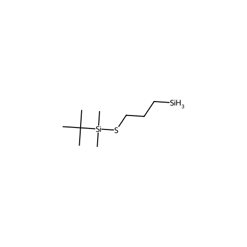 CC(C)(C)[Si](C)(C)SCCC[SiH3]